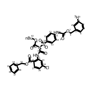 [3H]c1cccc(COC(=O)Nc2ccc(S(=O)(=O)N(C(=O)Nc3cc(Cl)ccc3C(=O)OCc3ccccc3)C(=O)OCCCC)cc2)c1